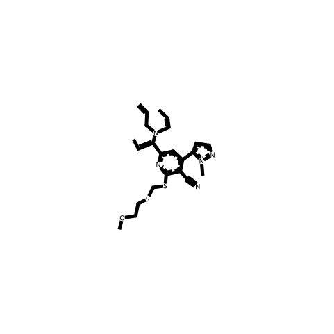 C=CCN(/C=C\C)/C(=C\C)c1cc(-c2ccnn2C)c(C#N)c(SCSCCOC)n1